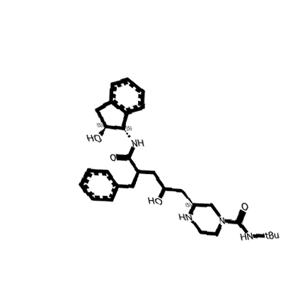 CC(C)(C)NC(=O)N1CCN[C@@H](CC(O)CC(Cc2ccccc2)C(=O)N[C@H]2c3ccccc3C[C@@H]2O)C1